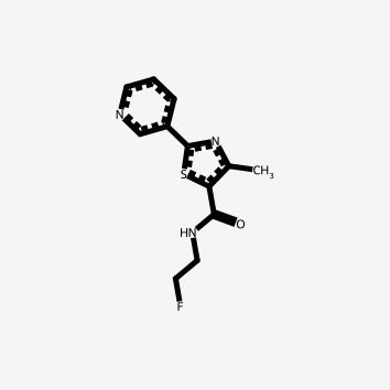 Cc1nc(-c2cccnc2)sc1C(=O)NCCF